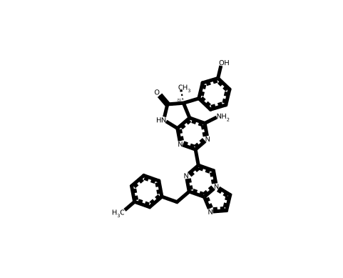 Cc1cccc(Cc2nc(-c3nc(N)c4c(n3)NC(=O)[C@@]4(C)c3cccc(O)c3)cn3ccnc23)c1